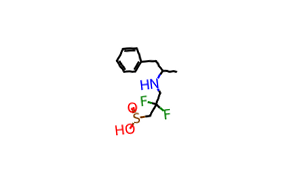 CC(Cc1ccccc1)NCC(F)(F)CS(=O)O